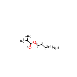 CCCCCCCCCCOC(=O)C(C(C)=O)C(C)=O